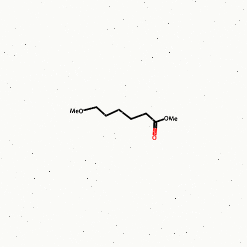 COCCCCCC(=O)OC